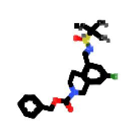 CC(C)(C)[S@+]([O-])N=Cc1cc(Cl)cc2c1CCN(C(=O)OCc1ccccc1)C2